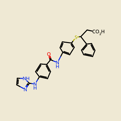 O=C(O)CC(Sc1ccc(NC(=O)c2ccc(Nc3ncc[nH]3)cc2)cc1)c1ccccc1